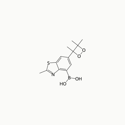 Cc1nc2c(B(O)O)cc(C3(C)OOC3(C)C)cc2s1